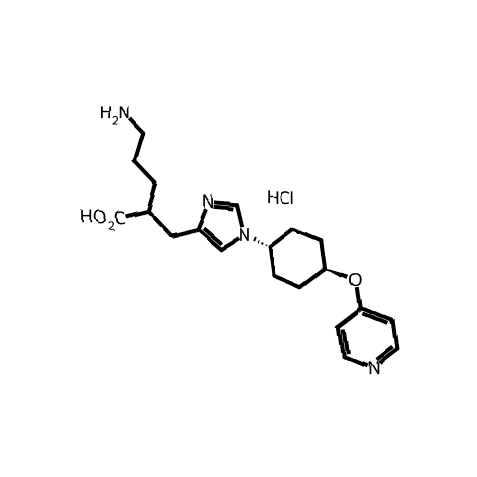 Cl.NCCCC(Cc1cn([C@H]2CC[C@H](Oc3ccncc3)CC2)cn1)C(=O)O